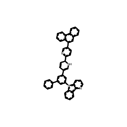 C1=CC(c2ccc(-c3cc4ccccc4c4ccccc34)cn2)NC=C1c1cc(-c2ccccc2)cc(-n2c3ccccc3c3ncccc32)c1